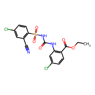 CCOC(=O)c1ccc(Cl)cc1NC(=O)NS(=O)(=O)c1ccc(Cl)cc1C#N